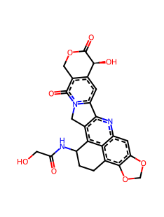 O=C(CO)NC1CCc2c3c(cc4nc5c(c1c24)Cn1c-5cc2c(c1=O)COC(=O)[C@H]2O)OCO3